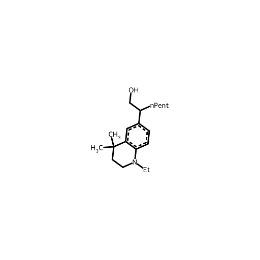 CCCCCC(CO)c1ccc2c(c1)C(C)(C)CCN2CC